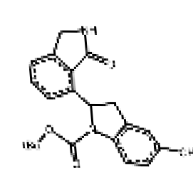 CC(C)(C)OC(=O)N1c2ccc(O)cc2CC1c1cccc2c1C(=O)NC2